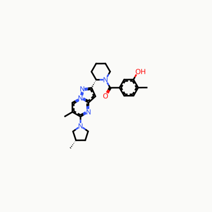 Cc1ccc(C(=O)N2CCCC[C@H]2c2cc3nc(N4CC[C@H](C)C4)c(C)cn3n2)cc1O